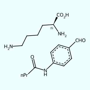 CCCC(=O)Nc1ccc(C=O)cc1.NCCCC[C@H](N)C(=O)O